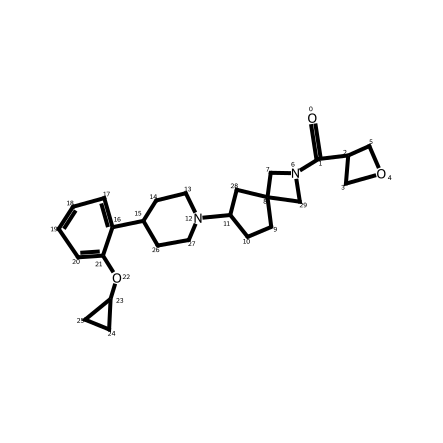 O=C(C1COC1)N1CC2(CCC(N3CCC(c4ccccc4OC4CC4)CC3)C2)C1